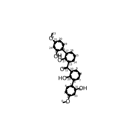 COc1ccc(-c2cccc(C(=O)c3cccc(-c4ccc(OC)cc4O)c3O)c2O)c(O)c1